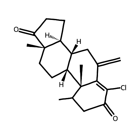 C=C1C[C@@H]2[C@@H](CC[C@]3(C)C(=O)CC[C@@H]23)[C@]2(C)C1=C(Cl)C(=O)CC2C